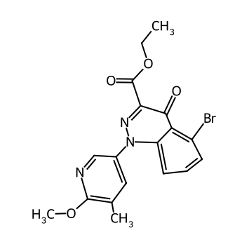 CCOC(=O)c1nn(-c2cnc(OC)c(C)c2)c2cccc(Br)c2c1=O